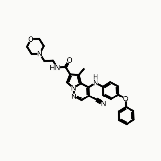 Cc1c(C(=O)NCCN2CCOCC2)cn2ncc(C#N)c(Nc3ccc(Oc4ccccc4)cc3)c12